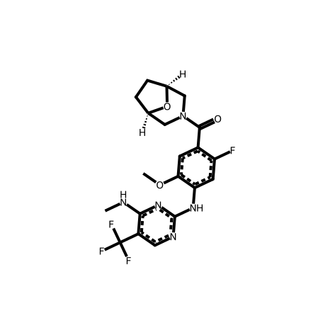 CNc1nc(Nc2cc(F)c(C(=O)N3C[C@H]4CC[C@@H](C3)O4)cc2OC)ncc1C(F)(F)F